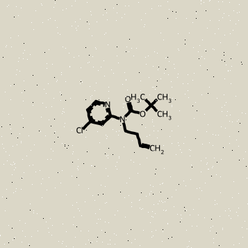 C=CCCN(C(=O)OC(C)(C)C)c1cc(Cl)ccn1